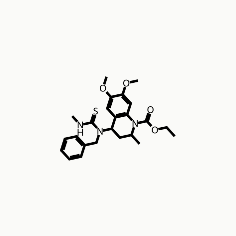 CCOC(=O)N1c2cc(OC)c(OC)cc2C(N(Cc2ccccc2)C(=S)NC)CC1C